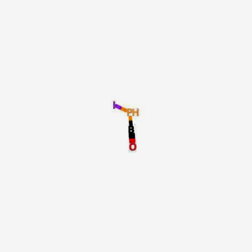 O=BPI